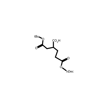 CCCCCCCCCCOC(=O)CCC(CC(=O)OC(C)(C)C)C(=O)O